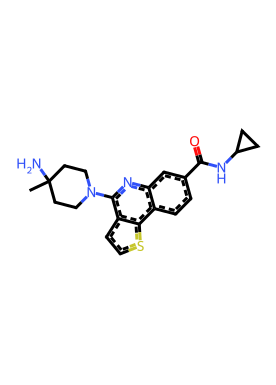 CC1(N)CCN(c2nc3cc(C(=O)NC4CC4)ccc3c3sccc23)CC1